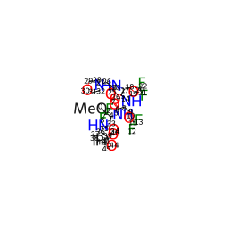 COC(F)(F)[C@@H](NC(=O)[C@H](COC(F)F)NC(=O)[C@H](COC(F)F)NC(=O)CN1CCOCC1)C(=O)N[C@@H](CC(C)C)C(=O)[C@@]1(C)CO1